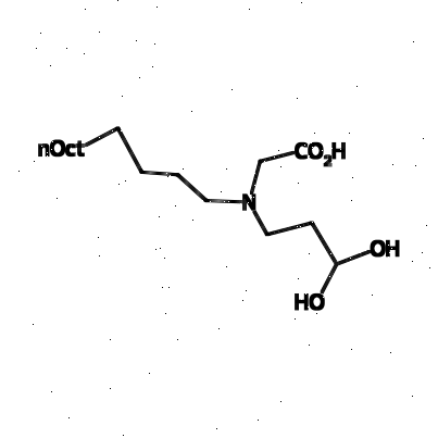 CCCCCCCCCCCCN(CCC(O)O)CC(=O)O